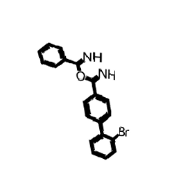 N=C(OC(=N)c1ccc(-c2ccccc2Br)cc1)c1ccccc1